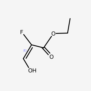 CCOC(=O)/C(F)=C\O